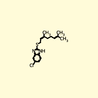 CC(C)=CCCC(C)=CCSc1nc2cc(Cl)ccc2[nH]1